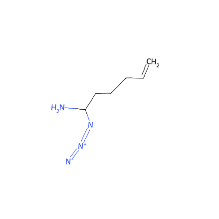 C=CCCCC(N)N=[N+]=[N-]